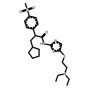 CCN(CC)CCSc1cnc(NC(=O)C(CC2CCCC2)c2ccc(S(C)(=O)=O)cc2)s1